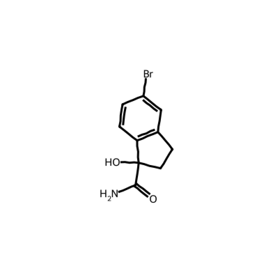 NC(=O)C1(O)CCc2cc(Br)ccc21